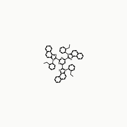 CCc1ccccc1-n1c(-c2cc(-c3nc4c5ccccc5ccc4n3-c3ccccc3CC)nc(-c3nc4c5ccccc5ccc4n3-c3ccccc3CC)n2)nc2c3ccccc3ccc21